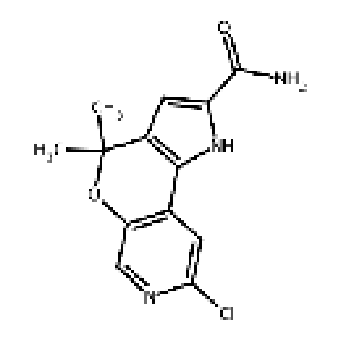 CC1(C)Oc2cnc(Cl)cc2-c2[nH]c(C(N)=O)cc21